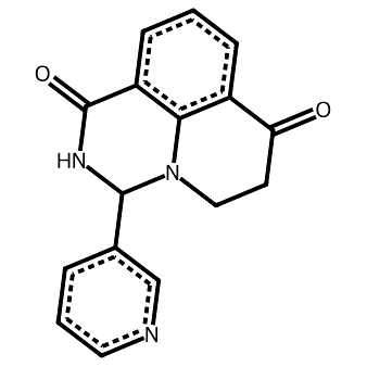 O=C1CCN2c3c1cccc3C(=O)NC2c1cccnc1